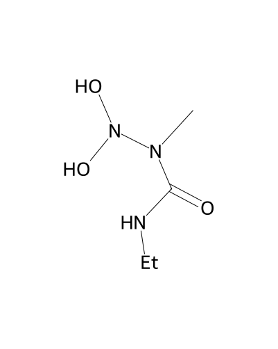 CCNC(=O)N(C)N(O)O